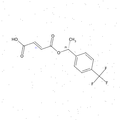 C[C@@H](OC(=O)/C=C/C(=O)O)c1ccc(C(F)(F)F)cc1